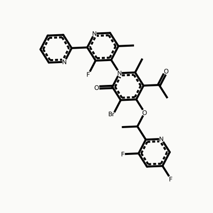 CC(=O)c1c(OC(C)c2ncc(F)cc2F)c(Br)c(=O)n(-c2c(C)cnc(-c3ccccn3)c2F)c1C